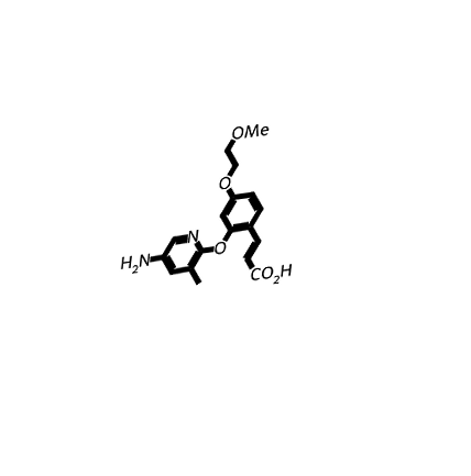 COCCOc1ccc(/C=C/C(=O)O)c(Oc2ncc(N)cc2C)c1